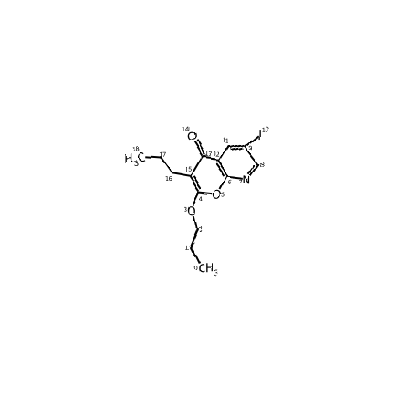 CCCOc1oc2ncc(I)cc2c(=O)c1CCC